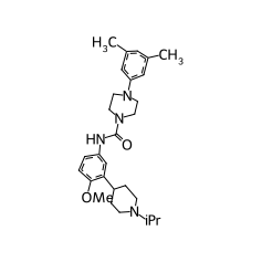 COc1ccc(NC(=O)N2CCN(c3cc(C)cc(C)c3)CC2)cc1C1CCN(C(C)C)CC1